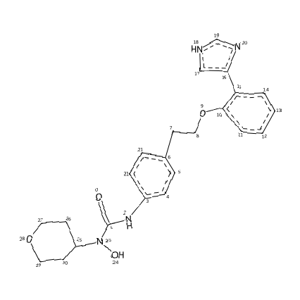 O=C(Nc1ccc(CCOc2ccccc2-c2c[nH]cn2)cc1)N(O)C1CCOCC1